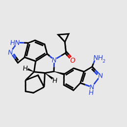 Nc1n[nH]c2ccc([C@H]3[C@@H]4C5CCC(C5)[C@@H]4c4c(ccc5[nH]ncc45)N3C(=O)C3CC3)cc12